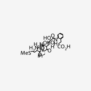 CSCC[C@H](N)C(=O)N[C@@H](CC(C)C)C(=O)C(CCC(O)(O)C(=O)Nc1ccccc1CCC(=O)O)C(N)(O)O